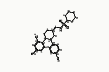 O=S(=O)(NC[C@@H]1CCC(c2ccc(Cl)cc2Cl)N(c2ccc(Cl)cc2)C1)C1CCCCC1